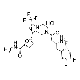 CNC(=O)c1ccc(-c2nc(C(F)(F)F)n3c2CN(C(=O)CC(N)Cc2cc(F)c(F)cc2F)CC3)o1.Cl